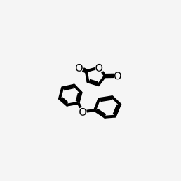 O=C1C=CC(=O)O1.c1ccc(Oc2ccccc2)cc1